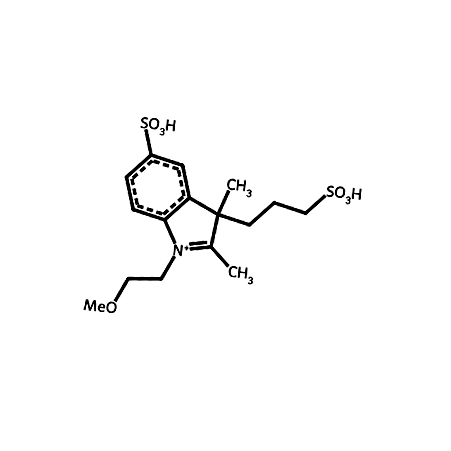 COCC[N+]1=C(C)C(C)(CCCS(=O)(=O)O)c2cc(S(=O)(=O)O)ccc21